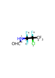 O=CNC(F)(F)C(F)(Cl)C(F)(F)F